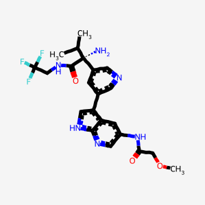 COCC(=O)Nc1cnc2[nH]cc(-c3cncc([C@@](N)(C(=O)NCC(F)(F)F)C(C)C)c3)c2c1